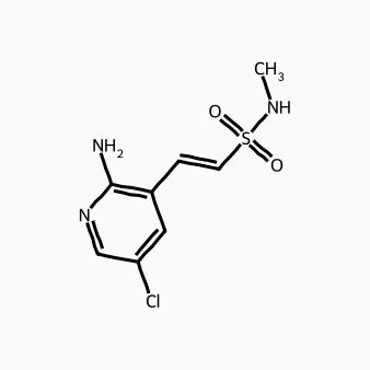 CNS(=O)(=O)C=Cc1cc(Cl)cnc1N